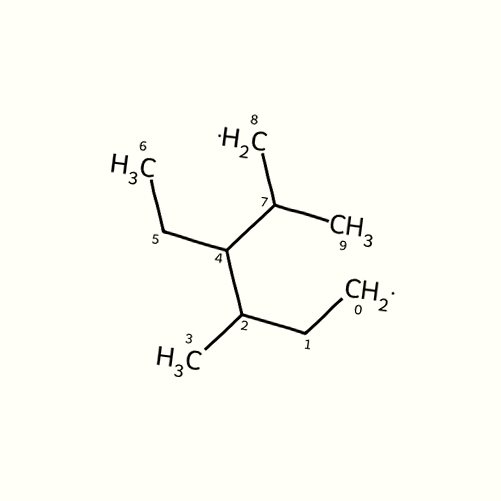 [CH2]CC(C)C(CC)C([CH2])C